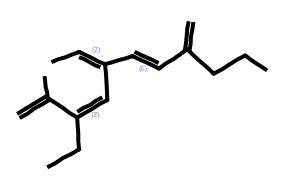 C=C(/C=C/C(=C/C)/C=C(/CC)C(=C)C)CCC